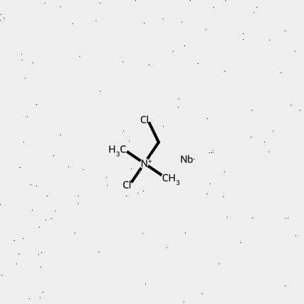 C[N+](C)(Cl)CCl.[Nb]